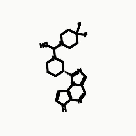 OC(N1CCC(F)(F)CC1)N1CCC[C@@H](c2ncc3cnc4[nH]ccc4n23)C1